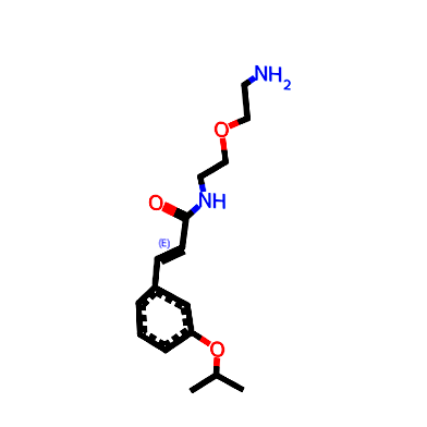 CC(C)Oc1cccc(/C=C/C(=O)NCCOCCN)c1